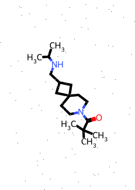 CC(C)NCC1CC2(CCN(C(=O)C(C)(C)C)CC2)C1